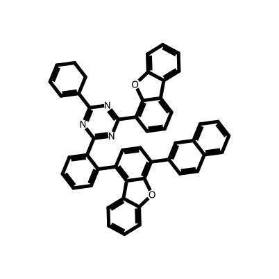 C1=CCCC(c2nc(-c3ccccc3-c3ccc(-c4ccc5ccccc5c4)c4oc5ccccc5c34)nc(-c3cccc4c3oc3ccccc34)n2)=C1